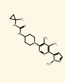 Cc1c(-c2ccnn2C)nnc(N2CCC(NC(=O)NC3(C(F)(F)F)CC3)CC2)c1C